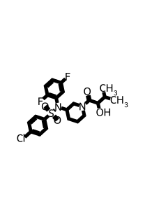 CC(C)C(O)C(=O)N1CCCC(N(c2cc(F)ccc2F)S(=O)(=O)c2ccc(Cl)cc2)C1